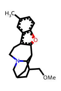 COCC1CC2CC3c4oc5ccc(C)cc5c4CCN(C2)C13